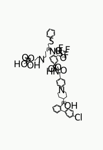 CN(CCOP(=O)(O)O)CC[C@H](CSc1ccccc1)Nc1ccc(S(=O)(=O)NC(=O)c2ccc(N3CCC([C@@H](O)c4ccccc4-c4ccc(Cl)cc4)CC3)cc2)cc1S(=O)(=O)C(F)(F)F